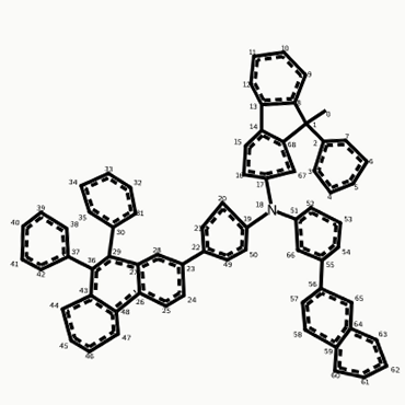 CC1(c2ccccc2)c2ccccc2-c2ccc(N(c3ccc(-c4ccc5c(c4)c(-c4ccccc4)c(-c4ccccc4)c4ccccc45)cc3)c3cccc(-c4ccc5ccccc5c4)c3)cc21